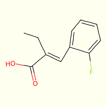 CC/C(=C\c1ccccc1F)C(=O)O